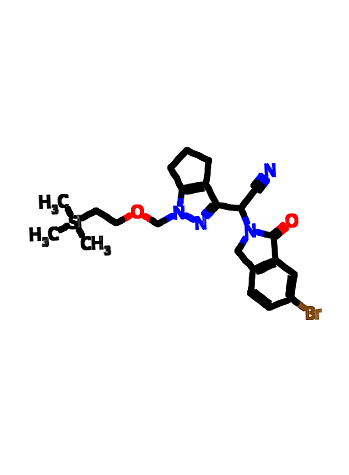 C[Si](C)(C)CCOCn1nc(C(C#N)N2Cc3ccc(Br)cc3C2=O)c2c1CCC2